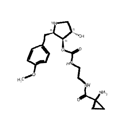 COc1ccc(C[C@H]2NC[C@H](O)[C@H]2OC(=O)NCCNC(=O)C2(N)CC2)cc1